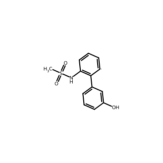 CS(=O)(=O)Nc1ccc[c]c1-c1cccc(O)c1